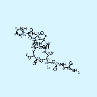 CO[C@H]1CC(/C=C\[C@@H]2[C@@H]3CO[C@H]2[C@H](OC(=O)c2ccc[nH]2)[C@H](C)[C@H]3O)C/C(C)=C/[C@@H](C)[C@@H]([C@@H](C)OC(=O)NCC(N)=O)OC1=O